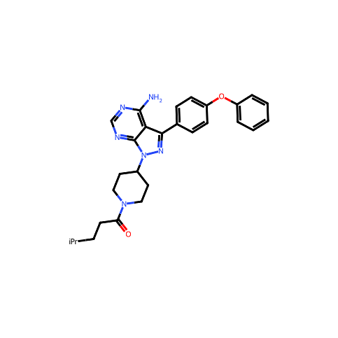 CC(C)CCC(=O)N1CCC(n2nc(-c3ccc(Oc4ccccc4)cc3)c3c(N)ncnc32)CC1